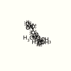 C[C@@H](c1ccc(-c2cccc(-n3ccccc3=O)n2)cc1)N1CCC(CC(C)(C)O)(c2ccccc2)OC1=O